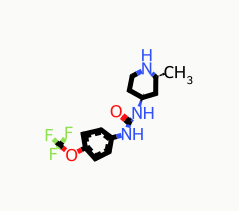 C[C@@H]1C[C@@H](NC(=O)Nc2ccc(OC(F)(F)F)cc2)CCN1